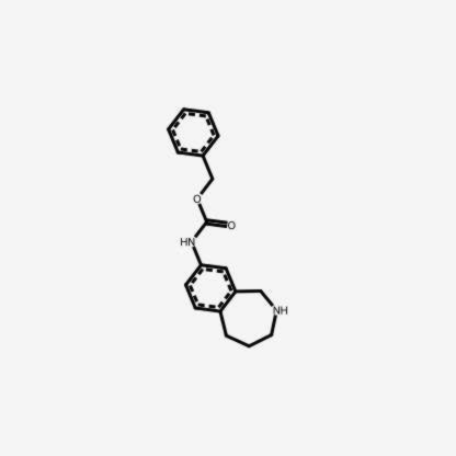 O=C(Nc1ccc2c(c1)CNCCC2)OCc1ccccc1